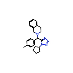 Cc1ccc(C(c2nnnn2C2CCCC2)N2CCc3ccccc3C2)cc1